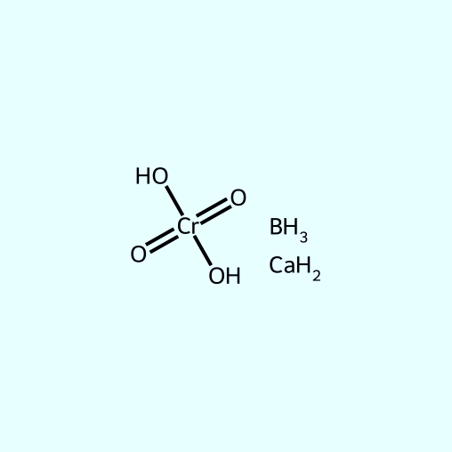 B.[CaH2].[O]=[Cr](=[O])([OH])[OH]